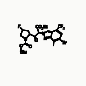 CCOC(=O)C(C(=O)C1CC(F)CN1C(=O)OC(C)(C)C)n1cc2c(C(F)(F)F)cc(Br)c(C)c2n1